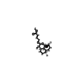 COC(=O)/C=C/COC1O[C@@H]2C[C@]3(C)CCC4[C@H](C)CCC([C@H]1C)[C@]42OO3